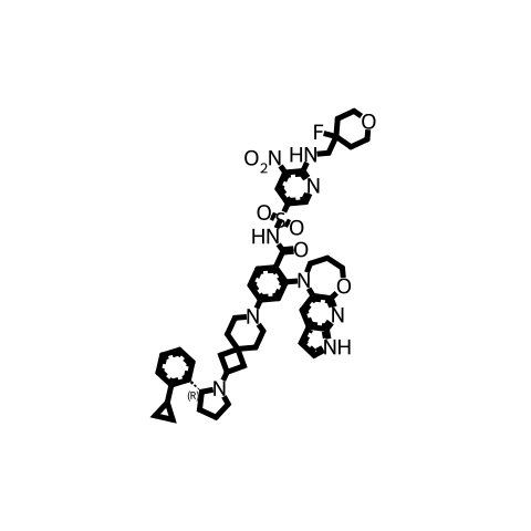 O=C(NS(=O)(=O)c1cnc(NCC2(F)CCOCC2)c([N+](=O)[O-])c1)c1ccc(N2CCC3(CC2)CC(N2CCC[C@@H]2c2ccccc2C2CC2)C3)cc1N1CCCOc2nc3[nH]ccc3cc21